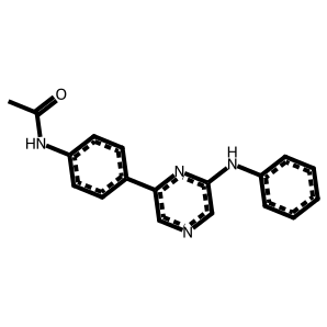 CC(=O)Nc1ccc(-c2cncc(Nc3ccccc3)n2)cc1